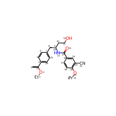 C=C(OCC)c1ccc(C[C@@H](CCO)NC(=O)c2ccc(OC(C)C)c(C#N)c2)cc1